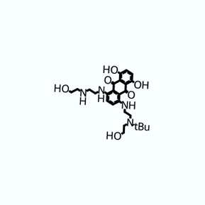 CC(C)(C)N(CCO)CCNc1ccc(NCCNCCO)c2c1C(=O)c1c(O)ccc(O)c1C2=O